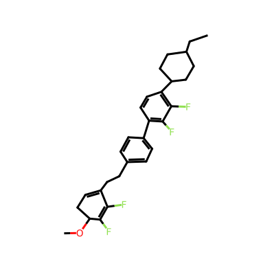 CCC1CCC(c2ccc(-c3ccc(CCC4=CCC(OC)C(F)=C4F)cc3)c(F)c2F)CC1